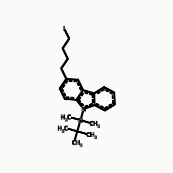 CC(C)(C)[Si](C)(C)n1c2ccccc2c2cc(CCCCI)ccc21